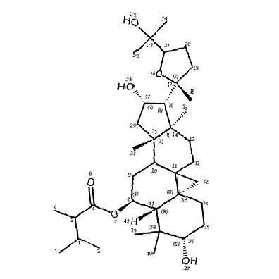 CC(C)C(C)C(=O)O[C@H]1CC2C3(CC[C@]4(C)[C@@H]([C@@]5(C)CCC(C(C)(C)O)O5)[C@@H](O)C[C@@]24C)C[C@@]32CC[C@H](O)C(C)(C)[C@H]12